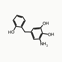 Nc1cc(Cc2ccccc2O)cc(O)c1O